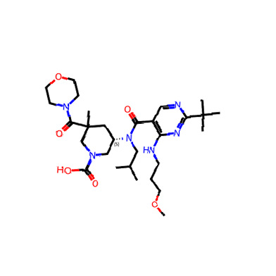 COCCCNc1nc(C(C)(C)C)ncc1C(=O)N(CC(C)C)[C@@H]1CN(C(=O)O)CC(C)(C(=O)N2CCOCC2)C1